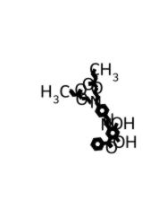 CC=CC(=O)OCCN(CCOC(=O)C=CC)c1ccc(N=Nc2cc(C(=O)c3ccccc3)c(O)cc2O)cc1